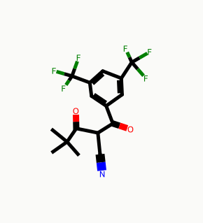 CC(C)(C)C(=O)C(C#N)C(=O)c1cc(C(F)(F)F)cc(C(F)(F)F)c1